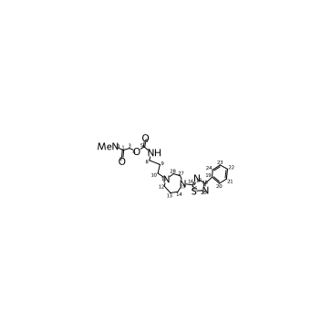 CNC(=O)COC(=O)NCCCN1CCCN(c2nc(-c3ccccc3)ns2)CC1